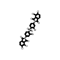 O=C1c2ccc(Cl)c(Cl)c2C(=O)N1c1ccc(S(=O)(=O)c2ccc(N3C(=O)c4ccc(Cl)c(Cl)c4C3=O)cc2Br)c(Br)c1